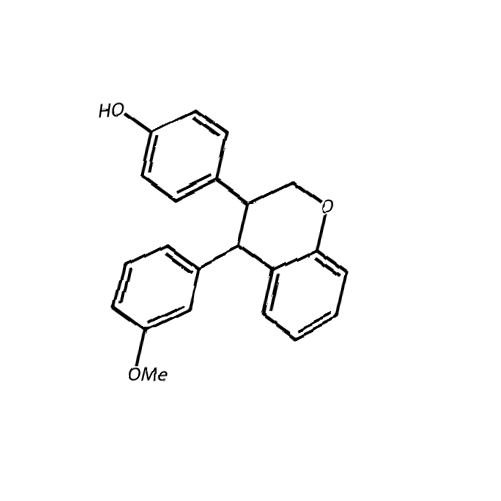 COc1cccc(C2c3ccccc3OCC2c2ccc(O)cc2)c1